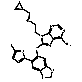 Cc1ccc(-c2cc3c(cc2Sc2nc4c(N)ncnc4n2CCNCC2CC2)OCO3)o1